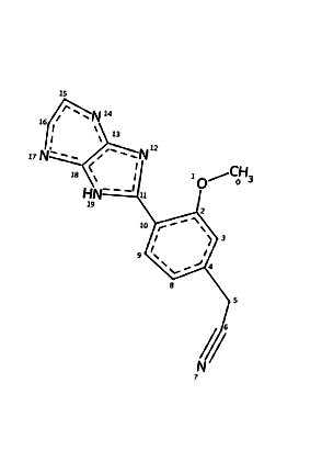 COc1cc(CC#N)ccc1-c1nc2nccnc2[nH]1